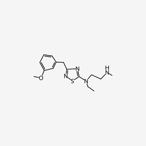 CCN(CCNC)c1nc(Cc2cccc(OC)c2)ns1